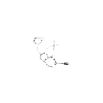 CC(C)(C)Cn1c(Cn2ccnc2)cc2cnc(C#N)nc21